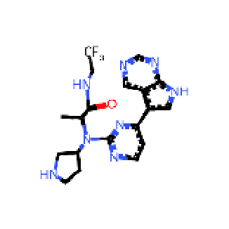 CC(C(=O)NCC(F)(F)F)N(c1nccc(-c2c[nH]c3ncncc23)n1)C1CCNC1